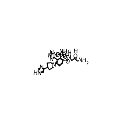 NC[C@@H](O)CNS(=O)(=O)c1ccc(N2CCC(c3c[nH]cn3)CC2)c(-c2nnn[nH]2)c1S(N)(=O)=O